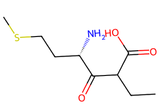 CCC(C(=O)O)C(=O)[C@@H](N)CCSC